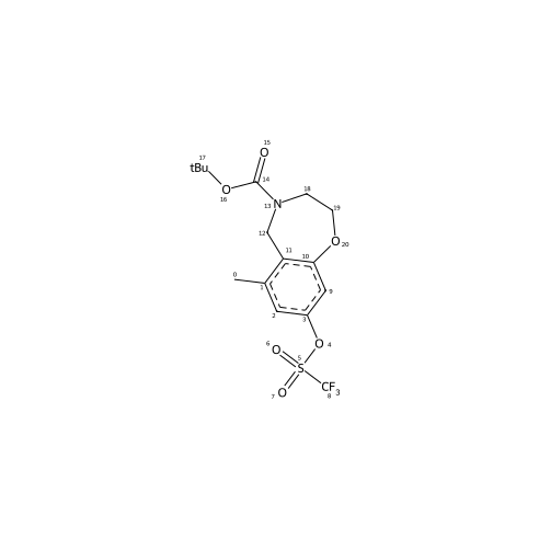 Cc1cc(OS(=O)(=O)C(F)(F)F)cc2c1CN(C(=O)OC(C)(C)C)CCO2